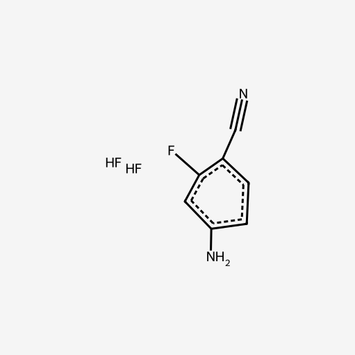 F.F.N#Cc1ccc(N)cc1F